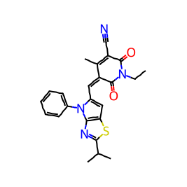 CCN1C(=O)C(C#N)=C(C)/C(=C/c2cc3sc(C(C)C)nc3n2-c2ccccc2)C1=O